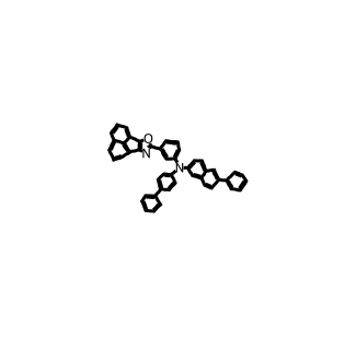 c1ccc(-c2ccc(N(c3cccc(-c4nc5c(o4)-c4cccc6cccc-5c46)c3)c3ccc4cc(-c5ccccc5)ccc4c3)cc2)cc1